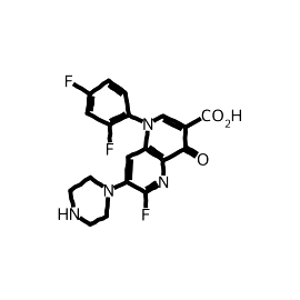 O=C(O)c1cn(-c2ccc(F)cc2F)c2cc(N3CCNCC3)c(F)nc2c1=O